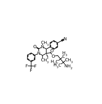 CC1N(c2cccc(C(F)(F)F)c2)C(=O)N(C)C(c2ccc(C#N)cc2)[C@]1(I)C(=O)OCC(C)(C)C(C)(C)N